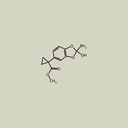 BC1(O)Oc2ccc(C3(C(=O)OC)CC3)cc2O1